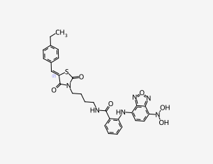 CCc1ccc(/C=C2\SC(=O)N(CCCCNC(=O)c3ccccc3Nc3ccc(N(O)O)c4nonc34)C2=O)cc1